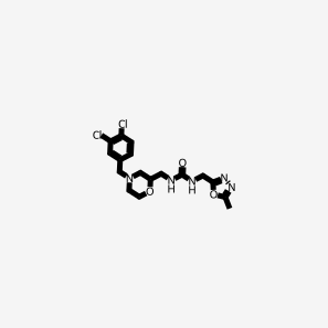 Cc1nnc(CNC(=O)NCC2CN(Cc3ccc(Cl)c(Cl)c3)CCO2)o1